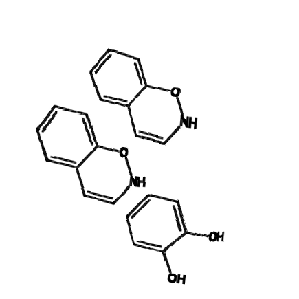 C1=Cc2ccccc2ON1.C1=Cc2ccccc2ON1.Oc1ccccc1O